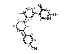 Cc1nnc(-c2c[nH]c(=O)[nH]c2=O)cc1N1CCOC(c2ccc(C#N)cc2)C1